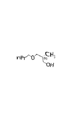 CCCCOC[C@H](C)CO